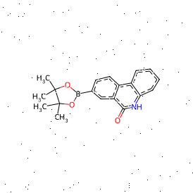 CC1(C)OB(c2ccc3c(c2)c(=O)[nH]c2ccccc23)OC1(C)C